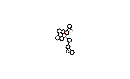 c1cc(-c2ccc3oc4ccccc4c3c2)cc(N(c2ccc3c(c2)oc2ccccc23)c2ccccc2-c2cccc3cccc(C4CCCCC4)c23)c1